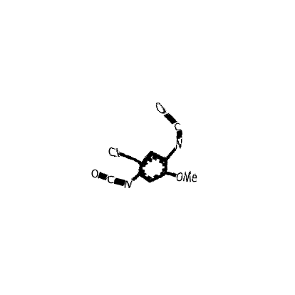 COc1cc(N=C=O)c(Cl)cc1N=C=O